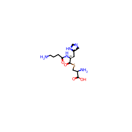 NCCCC(=O)N[C@@H](Cc1cnc[nH]1)C(=O)SCC(N)C(=O)O